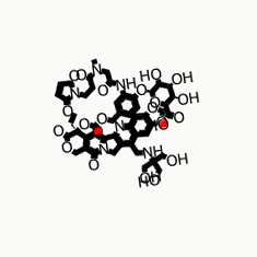 CC[C@@]1(OC(=O)OCc2ccc(O[C@@H]3OC(C(=O)O)[C@@H](O)[C@H](O)C3O)c(NC(=O)CN(C)C(=O)CCN3C(=O)C=CC3=O)c2)C(=O)OCc2c1cc1n(c2=O)Cc2c-1nc1cc3c(cc1c2CNC(CO)(CO)CO)OCO3